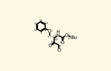 CC(C)(C)OC(=O)N[C@@H](COc1ccccc1)C(=O)CCl